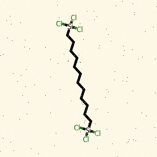 Cl[Si](Cl)(Cl)CCCCCCCCCCCC[Si](Cl)(Cl)Cl